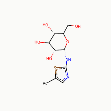 CC(=O)c1cnc(N[C@H]2OC(CO)[C@@H](O)C(O)[C@H]2O)s1